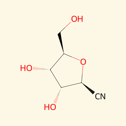 N#C[C@@H]1O[C@H](CO)[C@@H](O)[C@H]1O